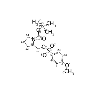 COc1ccc(S(=O)(=O)OCC2CCCN2C(=O)OC(C)(C)C)cc1